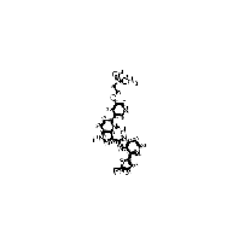 CN(C)CCOc1cncc(-c2ccc3[nH]nc(-c4nc5c(-c6ccc(F)s6)nccc5[nH]4)c3n2)c1